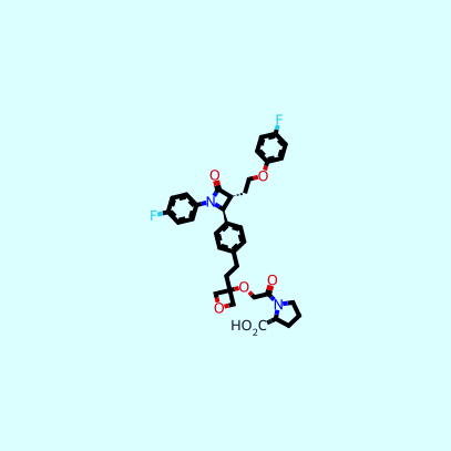 O=C(O)C1CCCN1C(=O)COC1(CCc2ccc([C@@H]3[C@@H](CCOc4ccc(F)cc4)C(=O)N3c3ccc(F)cc3)cc2)COC1